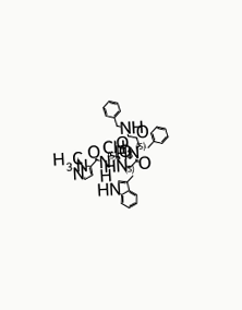 C[C@H](NC(=O)c1ccnn1C)C(=O)N[C@@H](Cc1c[nH]c2ccccc12)C(=O)N[C@@H](Cc1ccccc1)C(=O)C(=O)NCc1ccccc1